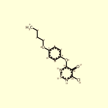 CCCCOc1ccc(Oc2nsnc(Cl)c2=O)cc1